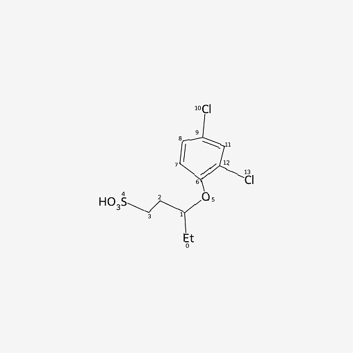 CCC(CCS(=O)(=O)O)Oc1ccc(Cl)cc1Cl